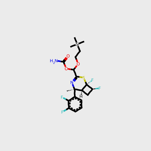 C[C@]1(c2cccc(F)c2F)N=C(C(OCC[Si](C)(C)C)OC(N)=O)S[C@]2(F)[C@H]1C[C@@H]2F